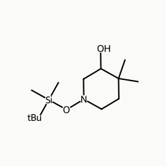 CC1(C)CCN(O[Si](C)(C)C(C)(C)C)CC1O